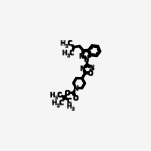 CC(C)Cc1nn(-c2noc(C3CCN(C(=O)OC(C)(C)C)CC3)n2)c2ccccc12